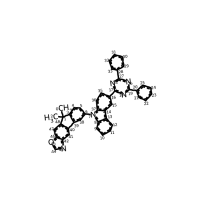 CC1(C)c2ccc(-n3c4ccccc4c4cc(-c5nc(-c6ccccc6)nc(-c6ccccc6)n5)ccc43)cc2-c2cc3ncoc3cc21